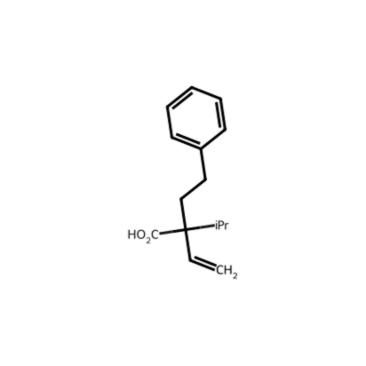 C=CC(CCc1ccccc1)(C(=O)O)C(C)C